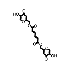 O=C(C=CC=CC(=O)OCc1cc(=O)c(O)co1)OCc1cc(=O)c(O)co1